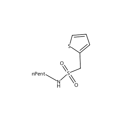 CCCCCNS(=O)(=O)Cc1cccs1